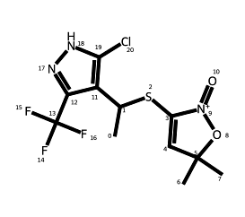 CC(SC1=CC(C)(C)O[N+]1=O)c1c(C(F)(F)F)n[nH]c1Cl